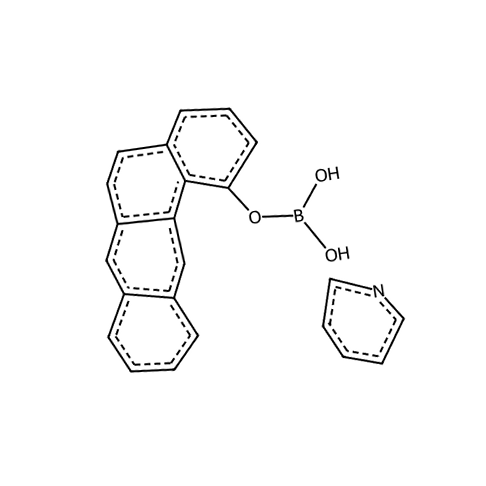 OB(O)Oc1cccc2ccc3cc4ccccc4cc3c12.c1ccncc1